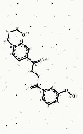 COc1cccc(C(=O)CCC(=O)c2ccc3c(c2)OCCC3)c1